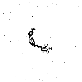 Cc1cn(CCCCN2CCN(Cc3ccc(C(C)(C)C)cc3)CC2)c(=O)[nH]c1=O